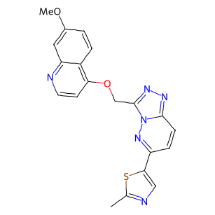 COc1ccc2c(OCc3nnc4ccc(-c5cnc(C)s5)nn34)ccnc2c1